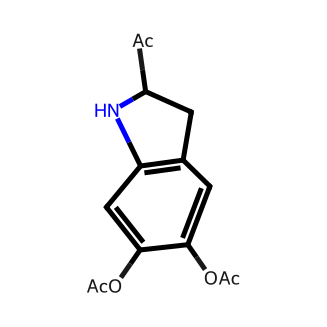 CC(=O)Oc1cc2c(cc1OC(C)=O)NC(C(C)=O)C2